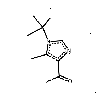 CC(=O)c1ncn(C(C)(C)C)c1C